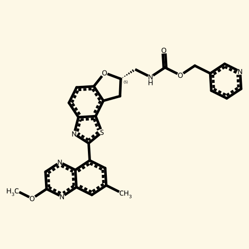 COc1cnc2c(-c3nc4ccc5c(c4s3)C[C@@H](CNC(=O)OCc3cccnc3)O5)cc(C)cc2n1